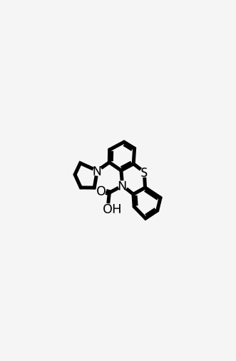 O=C(O)N1c2ccccc2Sc2cccc(N3CCCC3)c21